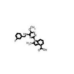 COc1nnc(-n2c(C)cc3c(C(=O)O)cccc32)nc1NCc1cccc(F)c1